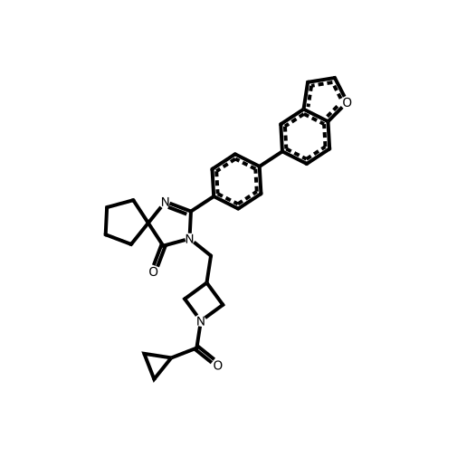 O=C(C1CC1)N1CC(CN2C(=O)C3(CCCC3)N=C2c2ccc(-c3ccc4occc4c3)cc2)C1